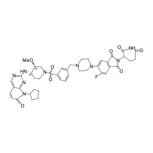 CO[C@H]1CN(S(=O)(=O)c2cccc(CN3CCN(c4cc5c(cc4F)C(=O)N(C4CCC(=O)NC4=O)C5=O)CC3)c2)CC[C@@H]1Nc1ncc2ccc(=O)n(C3CCCC3)c2n1